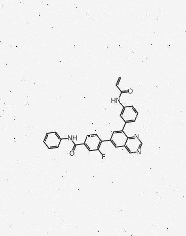 C=CC(=O)Nc1cccc(-c2cc(-c3ccc(C(=O)Nc4ccccc4)cc3F)cc3cncnc23)c1